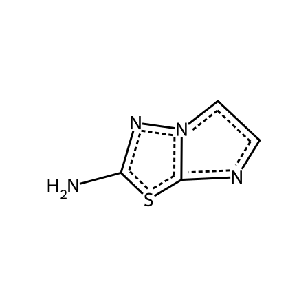 Nc1nn2ccnc2s1